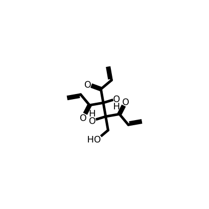 C=CC(=O)C(O)(CO)C(O)(C(=O)C=C)C(=O)C=C